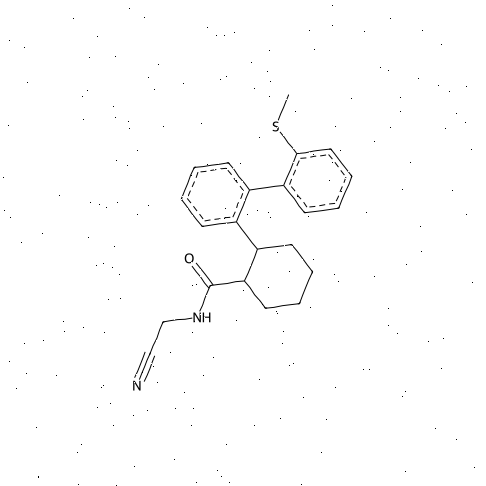 CSc1ccccc1-c1ccccc1C1CCCCC1C(=O)NCC#N